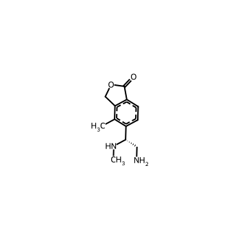 CN[C@@H](CN)c1ccc2c(c1C)COC2=O